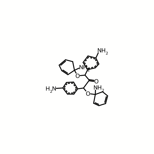 Nc1ccc(C(OC2(N)C=CC=CC2)C(=O)C(OC2(N)C=CC=CC2)c2ccc(N)cc2)cc1